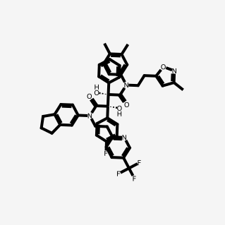 Cc1cc(CCN(C(=O)[C@](O)(c2ccccc2)[C@](O)(C(=O)N(CCc2ccc(C(F)(F)F)cn2)c2ccc3c(c2)CCC3)c2ccc(F)cc2)c2ccc(C)c(C)c2)on1